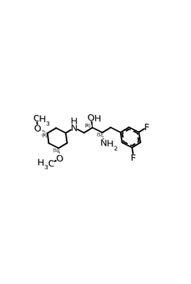 CO[C@@H]1CC(NC[C@@H](O)[C@@H](N)Cc2cc(F)cc(F)c2)C[C@H](OC)C1